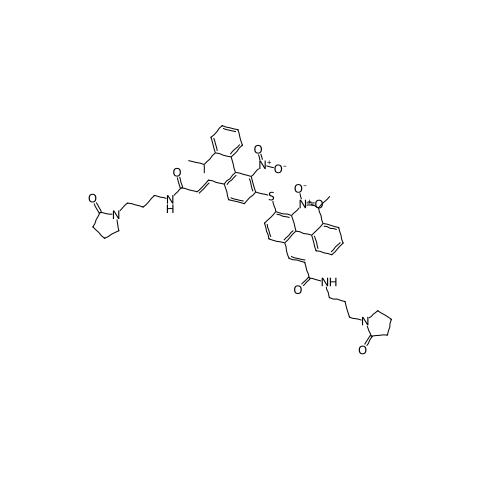 CC(C)c1ccccc1-c1c(/C=C/C(=O)NCCCN2CCCC2=O)ccc(Sc2ccc(/C=C/C(=O)NCCCN3CCCC3=O)c(-c3ccccc3C(C)C)c2[N+](=O)[O-])c1[N+](=O)[O-]